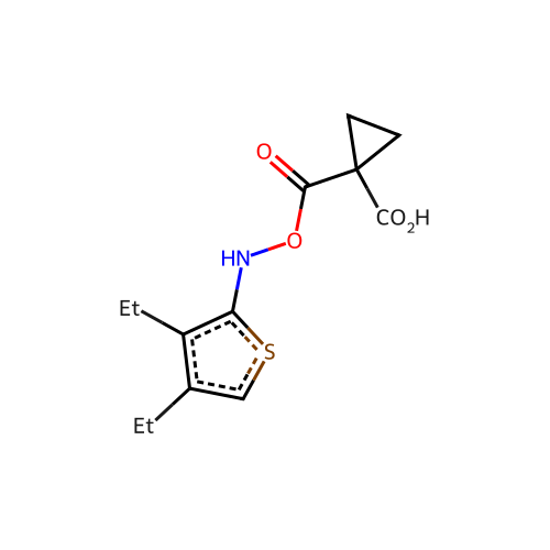 CCc1csc(NOC(=O)C2(C(=O)O)CC2)c1CC